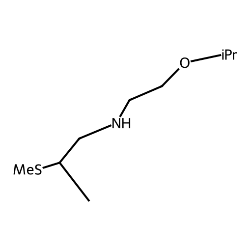 CSC(C)CNCCOC(C)C